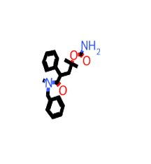 CN(Cc1ccccc1)C(=O)C(CC(C)(C)OC(N)=O)c1ccccc1